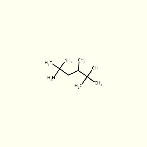 CC(CC(C)(N)N)C(C)(C)C